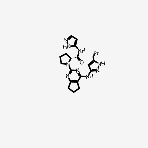 CC(C)c1cc(Nc2nc(N3CCC[C@@H]3C(=O)Nc3ccn[nH]3)nc3c2CCC3)n[nH]1